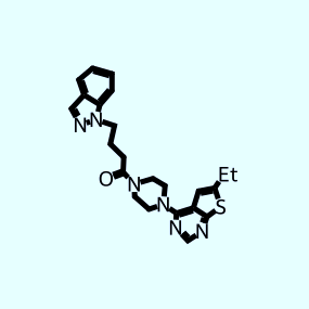 CCc1cc2c(N3CCN(C(=O)CCCn4ncc5ccccc54)CC3)ncnc2s1